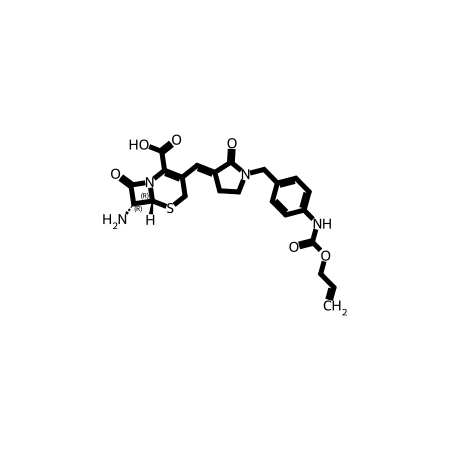 C=CCOC(=O)Nc1ccc(CN2CCC(=CC3=C(C(=O)O)N4C(=O)[C@@H](N)[C@H]4SC3)C2=O)cc1